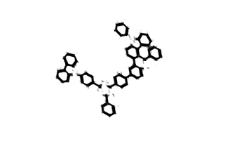 c1ccc(-c2nc(-c3ccc(-c4ccc5nc(-c6ccccc6)c6c(ccc7c6c6ccccc6n7-c6ccccc6)c5c4)cc3)nc(-c3ccc(-n4c5ccccc5c5ccccc54)cc3)n2)cc1